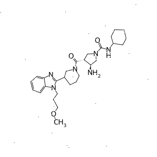 COCCCn1c(C2CCCN(C(=O)[C@@H]3CN(C(=O)NC4CCCCC4)C[C@H]3N)C2)nc2ccccc21